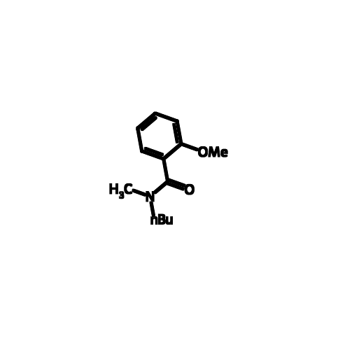 CCCCN(C)C(=O)c1ccccc1OC